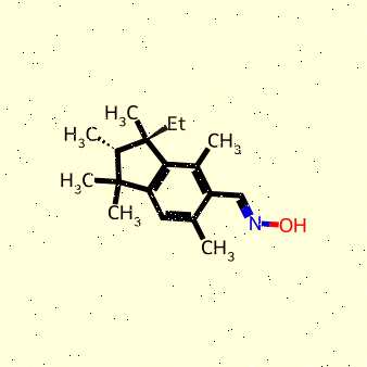 CC[C@@]1(C)c2c(cc(C)c(C=NO)c2C)C(C)(C)[C@@H]1C